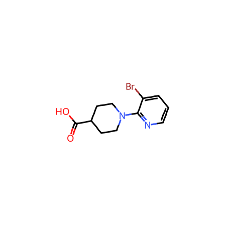 O=C(O)C1CCN(c2ncccc2Br)CC1